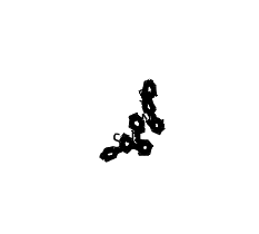 c1cc(-n2c3ccccc3c3cc4c(cc32)sc2ccccc24)cc(-n2c3ccccc3c3cc4c(cc32)sc2ccccc24)c1